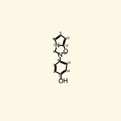 Oc1ccc(N2Cn3cccc3O2)cc1